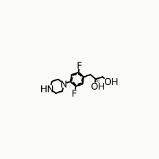 OC[C@@H](O)Cc1cc(F)c(N2CCNCC2)cc1F